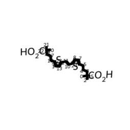 CC(C)(CCCc1ccc(C=Cc2ccc(CCCC(C)(C)C(=O)O)s2)s1)C(=O)O